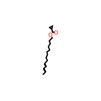 C/C=C/C=C/CCCCCCCCCOC(=O)C1CC1